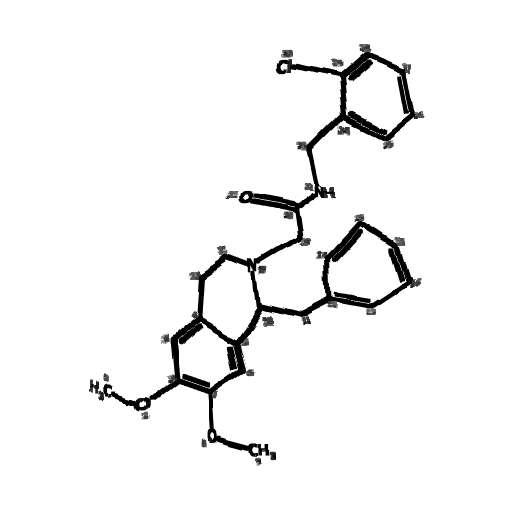 COc1cc2c(cc1OC)C(Cc1ccccc1)N(CC(=O)NCc1ccccc1Cl)CC2